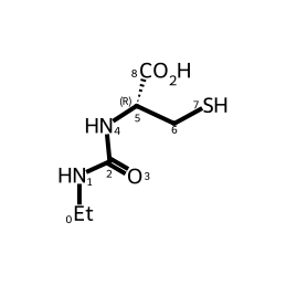 CCNC(=O)N[C@@H](CS)C(=O)O